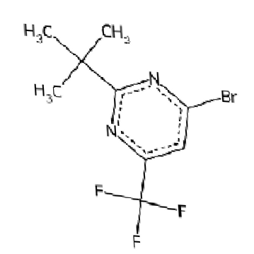 CC(C)(C)c1nc(Br)cc(C(F)(F)F)n1